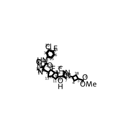 COC(=O)C1CC(n2cc(C3(O)CC4CC(c5ncn(C)c5C(=O)Nc5ccc(F)c(Cl)c5)CC4C3)c(C(F)(F)F)n2)C1